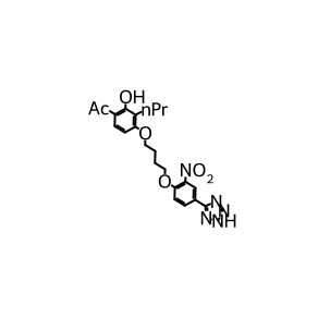 CCCc1c(OCCCCOc2ccc(-c3nn[nH]n3)cc2[N+](=O)[O-])ccc(C(C)=O)c1O